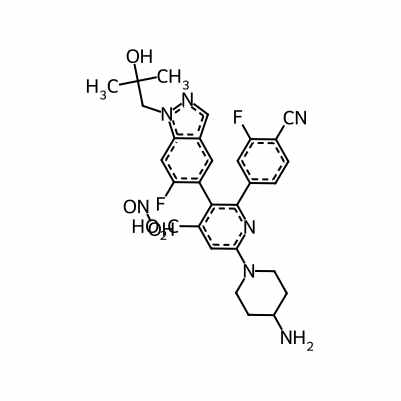 CC(C)(O)Cn1ncc2cc(-c3c(C(=O)O)cc(N4CCC(N)CC4)nc3-c3ccc(C#N)c(F)c3)c(F)cc21.O=NO